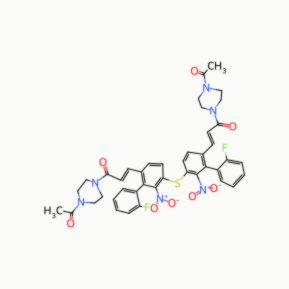 CC(=O)N1CCN(C(=O)/C=C/c2ccc(Sc3ccc(/C=C/C(=O)N4CCN(C(C)=O)CC4)c(-c4ccccc4F)c3[N+](=O)[O-])c([N+](=O)[O-])c2-c2ccccc2F)CC1